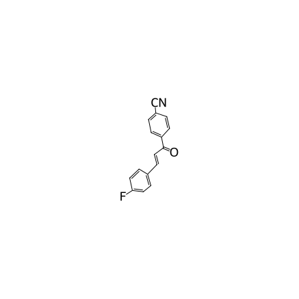 N#Cc1ccc(C(=O)C=Cc2ccc(F)cc2)cc1